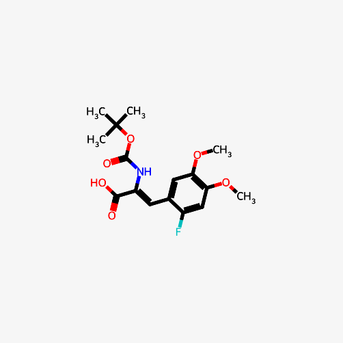 COc1cc(F)c(/C=C(\NC(=O)OC(C)(C)C)C(=O)O)cc1OC